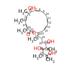 CC1=CC(C)C(O)C=CCCC=CC=CCC(C(C)CCC(O)C(C)C(O)C(C)C(C)O)OC(=O)C(C)=C1